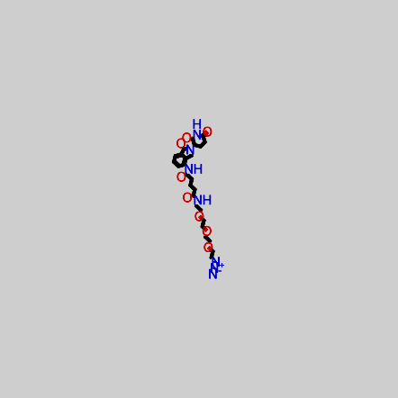 [N-]=[N+]=NCCOCCOCCOCCNC(=O)CCCC(=O)Nc1cccc2c1CN(C1CCC(=O)NC1=O)C2=O